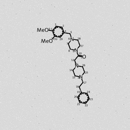 COc1ccc(CN2CCN(C(=O)CN3CCN(CCc4ccccc4)CC3)CC2)cc1OC